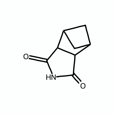 O=C1NC(=O)C2C3CC(C3)C12